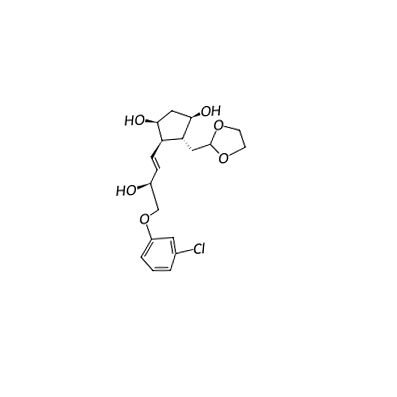 O[C@@H]1C[C@H](O)[C@H](/C=C/[C@H](O)COc2cccc(Cl)c2)[C@H]1CC1OCCO1